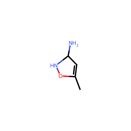 CC1=CC(N)NO1